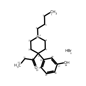 Br.CCCCN1CCC(C(=O)CC)(c2cccc(O)c2)CC1